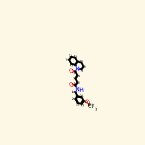 O=C(CCCC(=O)N1CCCC2CCCCC21)NCc1cccc(OC(F)(F)F)c1